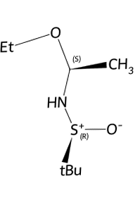 CCO[C@@H](C)N[S@@+]([O-])C(C)(C)C